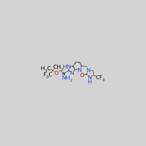 CC(C)(OC[C@H](N)c1nc2nc(CN3CC(C(F)(F)F)NC3=O)ccc2[nH]1)C(F)(F)F